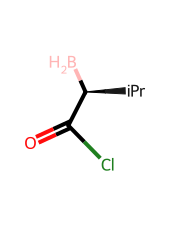 B[C@H](C(=O)Cl)C(C)C